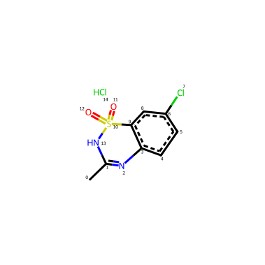 CC1=Nc2ccc(Cl)cc2S(=O)(=O)N1.Cl